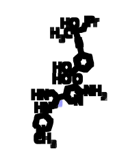 CC(C)CC(C)(O)C#Cc1cccc(C(O)(O)Oc2cc(/C(C=N)=C/NC3CCN(C)CC3)cnc2N)c1